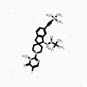 Cn1c(N2CCC3(CC2)Cc2ccc(C#C[Si](C)(C)C)cc2[C@H]3N[S+]([O-])C(C)(C)C)ncc(I)c1=O